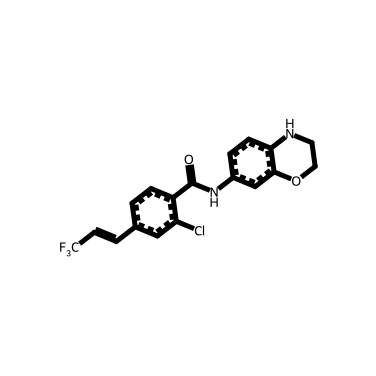 O=C(Nc1ccc2c(c1)OCCN2)c1ccc(/C=C/C(F)(F)F)cc1Cl